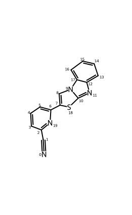 N#Cc1cccc(-c2cn3c(nc4ccccc43)s2)n1